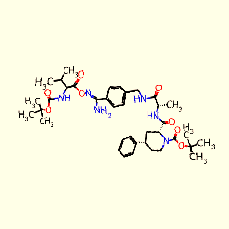 CC(C)C(NC(=O)OC(C)(C)C)C(=O)O/N=C(\N)c1ccc(CNC(=O)[C@H](C)NC(=O)[C@H]2C[C@@H](c3ccccc3)CCN2C(=O)OC(C)(C)C)cc1